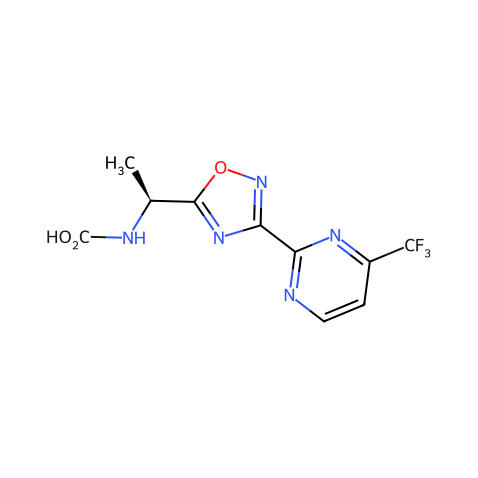 C[C@H](NC(=O)O)c1nc(-c2nccc(C(F)(F)F)n2)no1